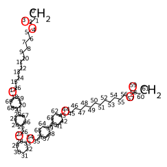 C=CC(=O)OCCCCCCCCCCCCOc1ccc(-c2ccc(CO[C@@H]3CCCC[C@H]3OCc3ccc(-c4ccc(OCCCCCCCCCCCCOC(=O)C=C)cc4)cc3)cc2)cc1